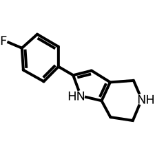 Fc1ccc(-c2cc3c([nH]2)CCNC3)cc1